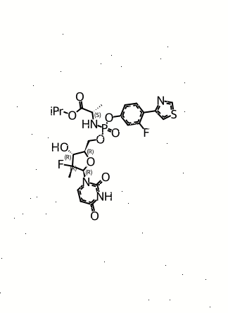 CC(C)OC(=O)[C@H](C)NP(=O)(OC[C@H]1O[C@@H](n2ccc(=O)[nH]c2=O)[C@](C)(F)[C@@H]1O)Oc1ccc(-c2cscn2)c(F)c1